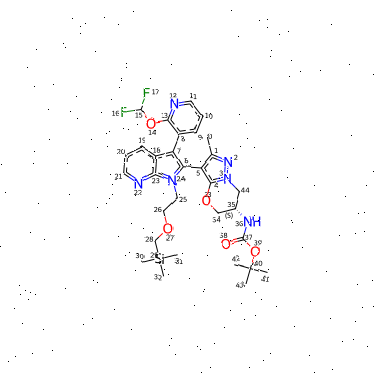 Cc1nn2c(c1-c1c(-c3cccnc3OC(F)F)c3cccnc3n1CCOC[Si](C)(C)C)OC[C@@H](NC(=O)OC(C)(C)C)C2